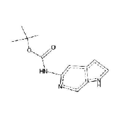 CC(C)(C)OC(=O)Nc1cc2cc[nH]c2cn1